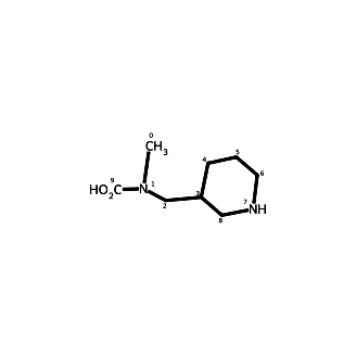 CN(CC1CCCNC1)C(=O)O